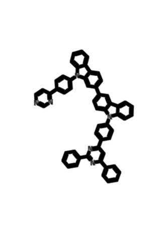 c1ccc(-c2cc(-c3ccc(-n4c5ccccc5c5cc(-c6ccc7c8ccccc8n(-c8ccc(-c9ccncn9)cc8)c7c6)ccc54)cc3)nc(-c3ccccc3)n2)cc1